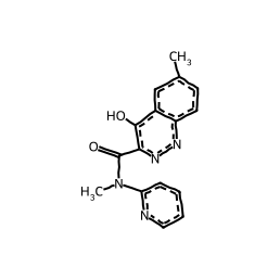 Cc1ccc2nnc(C(=O)N(C)c3ccccn3)c(O)c2c1